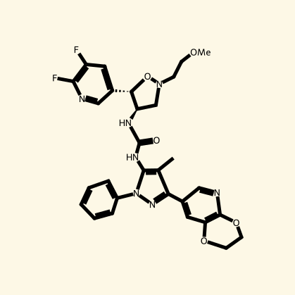 COCCN1C[C@@H](NC(=O)Nc2c(C)c(-c3cnc4c(c3)OCCO4)nn2-c2ccccc2)[C@H](c2cnc(F)c(F)c2)O1